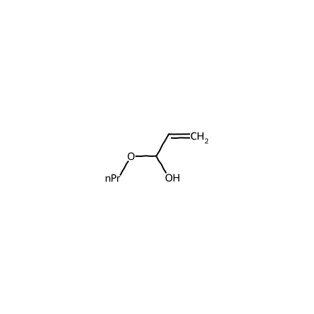 C=CC(O)OCCC